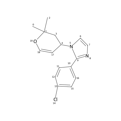 CC1(C)CC(n2ccnc2-c2ccc(Cl)cc2)C=CO1